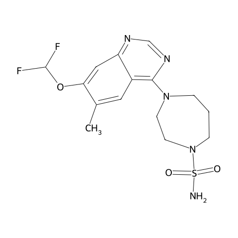 Cc1cc2c(N3CCCN(S(N)(=O)=O)CC3)ncnc2cc1OC(F)F